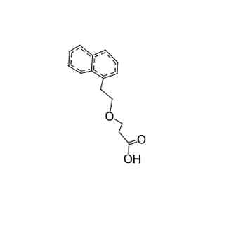 O=C(O)CCOCCc1cccc2ccccc12